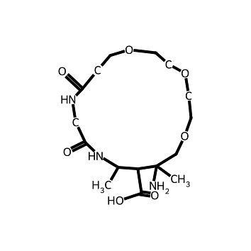 CC1NC(=O)CNC(=O)CCOCCOCCOCC(C)(N)C1C(=O)O